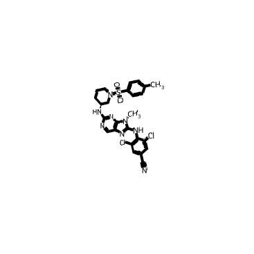 Cc1ccc(S(=O)(=O)N2CCC[C@@H](Nc3ncc4nc(Nc5c(Cl)cc(C#N)cc5Cl)n(C)c4n3)C2)cc1